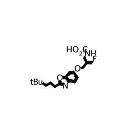 CC(C)(C)CCCc1nc2ccc(OCC(=CF)CNC(=O)O)cc2o1